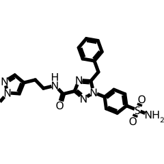 Cn1cc(CCNC(=O)c2nc(Cc3ccccc3)n(-c3ccc(S(N)(=O)=O)cc3)n2)cn1